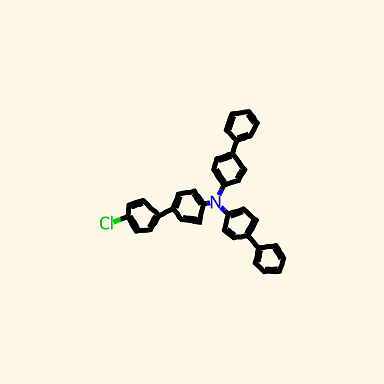 Clc1ccc(-c2ccc(N(c3ccc(-c4ccccc4)cc3)c3ccc(-c4ccccc4)cc3)cc2)cc1